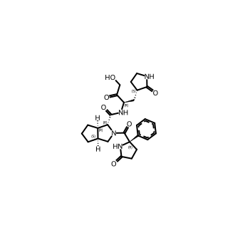 O=C1CC[C@](C(=O)N2C[C@H]3CCC[C@H]3[C@@H]2C(=O)N[C@H](C[C@@H]2CCNC2=O)C(=O)CO)(c2ccccc2)N1